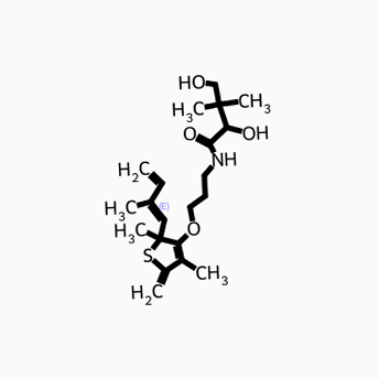 C=C/C(C)=C/C1(C)SC(=C)C(C)=C1OCCCNC(=O)C(O)C(C)(C)CO